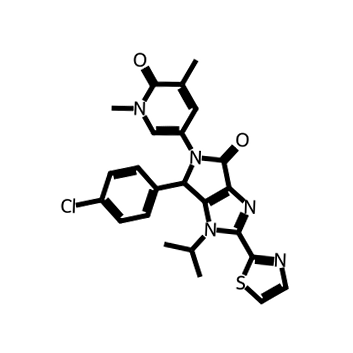 Cc1cc(N2C(=O)c3nc(-c4nccs4)n(C(C)C)c3C2c2ccc(Cl)cc2)cn(C)c1=O